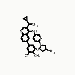 C=C(c1cnc2ccc(-c3cc(Cl)c(C)c(Cl)c3)cc2c1Nc1ccc(N2CCC(N)C2)nc1)C1CC1